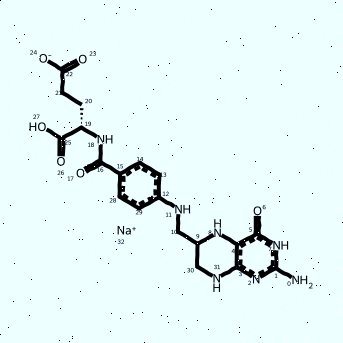 Nc1nc2c(c(=O)[nH]1)NC(CNc1ccc(C(=O)N[C@@H](CCC(=O)[O-])C(=O)O)cc1)CN2.[Na+]